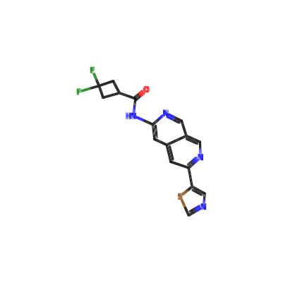 O=C(Nc1cc2cc(-c3cncs3)ncc2cn1)C1CC(F)(F)C1